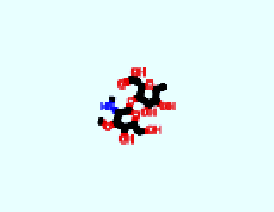 CNC1C(OC2C(C(=O)O)OC(C)C(O)C2O)OC(CO)C(O)C1OC